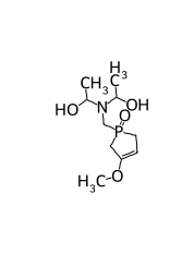 COC1=CCP(=O)(CN(C(C)O)C(C)O)C1